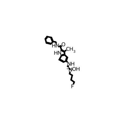 Cc1c(C(=O)NCc2ccccc2)[nH]c2ccc(NSN(O)CCCCF)cc12